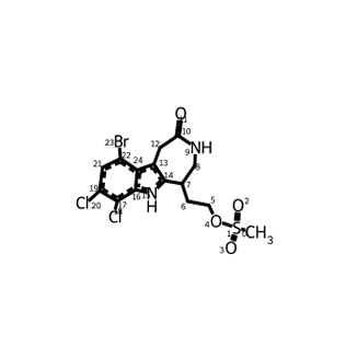 CS(=O)(=O)OCCC1CNC(=O)Cc2c1[nH]c1c(Cl)c(Cl)cc(Br)c21